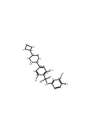 Fc1ccc(OC(F)(F)c2c(F)cc(C3CCC(C4CCC4)CO3)cc2F)cc1F